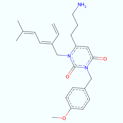 C=C/C(=C\C=C(C)C)Cn1c(CCCN)cc(=O)n(Cc2ccc(OC)cc2)c1=O